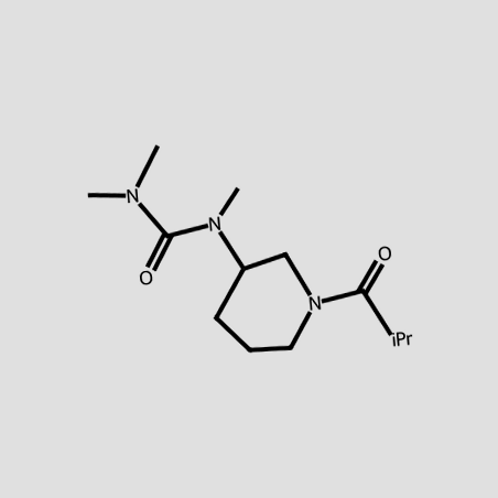 CC(C)C(=O)N1CCCC(N(C)C(=O)N(C)C)C1